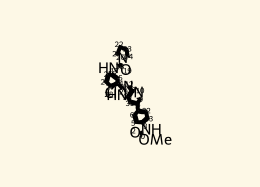 COC(=O)Nc1ccc(-c2cnc3nc(-c4cc(NC(=O)N5CCCC5)ccc4Cl)[nH]c3c2)cc1